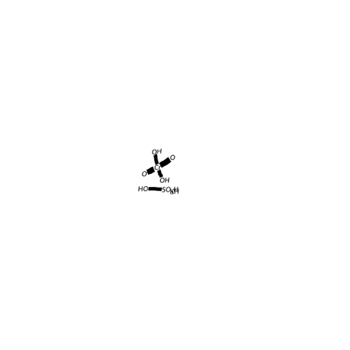 O=S(=O)(O)O.[KH].[O]=[Cr](=[O])([OH])[OH]